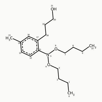 CCCCON(OCCCC)c1ccc(C)cc1CCCO